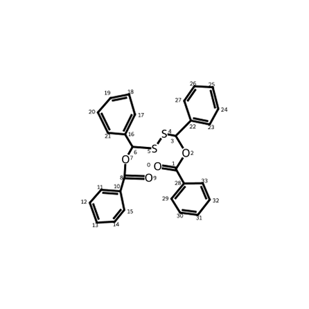 O=C(OC(SSC(OC(=O)c1ccccc1)c1ccccc1)c1ccccc1)c1ccccc1